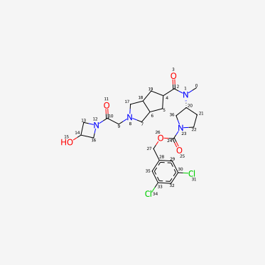 CN(C(=O)C1CC2CN(CC(=O)N3CC(O)C3)CC2C1)[C@@H]1CCN(C(=O)OCc2cc(Cl)cc(Cl)c2)C1